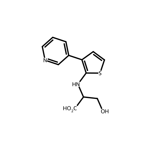 O=C(O)C(CO)Nc1sccc1-c1cccnc1